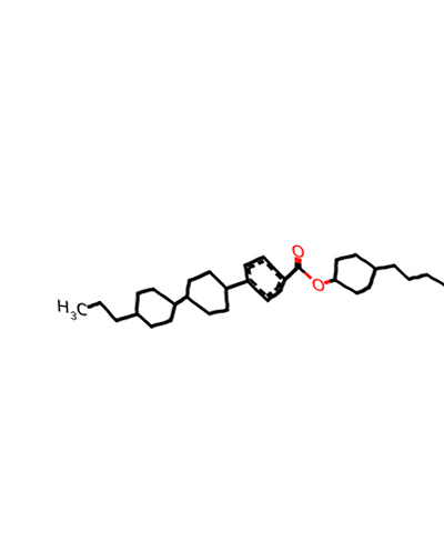 CCCCC1CCC(OC(=O)c2ccc(C3CCC(C4CCC(CCC)CC4)CC3)cc2)CC1